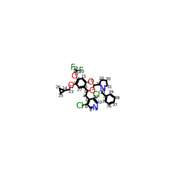 O=C(OC(Cc1c(Cl)cncc1Cl)c1ccc(OC(F)F)c(OCC2CC2)c1)C1CCCN1Cc1ccccc1